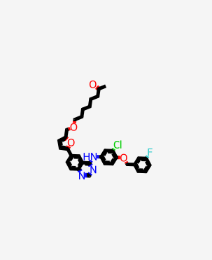 CC(=O)CCCCCCOCc1ccc(-c2ccc3ncnc(Nc4ccc(OCc5cccc(F)c5)c(Cl)c4)c3c2)o1